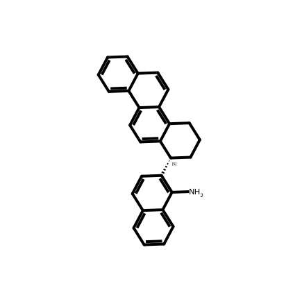 Nc1c([C@H]2CCCc3c2ccc2c3ccc3ccccc32)ccc2ccccc12